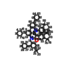 Cc1cccc(C)c1-c1cc2c3c(c1)N(Cc1ccc(C(C)(C)C)cc1-c1ccccc1)c1oc4cc5c(cc4c1B3N(c1ccc3c(c1)C(C)(C)CCC3(C)C)c1cc(-c3ccccc3)ccc1-2)C(C)(C)CCC5(C)C